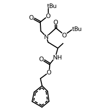 CC(CN(CC(=O)OC(C)(C)C)C(=O)OC(C)(C)C)NC(=O)OCc1ccccc1